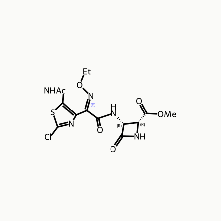 CCO/N=C(/C(=O)N[C@H]1C(=O)N[C@H]1C(=O)OC)c1nc(Cl)sc1NC(C)=O